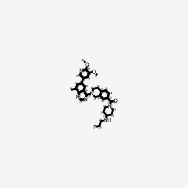 COc1cc(-c2cc(C)c3ncnc(N4CCc5ccc(C(=O)N6CCC(NCCF)CC6)cc5C4)c3c2)cnc1OC